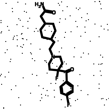 NC(=O)CC1CCC(CCN2CCC(F)(C(=O)c3ccc(F)cc3)CC2)CC1